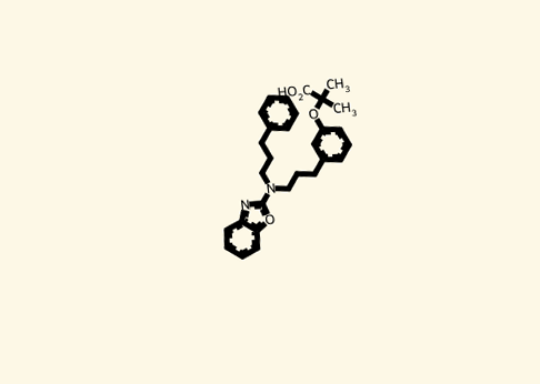 CC(C)(Oc1cccc(CCCN(CCCc2ccccc2)c2nc3ccccc3o2)c1)C(=O)O